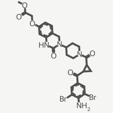 COC(=O)COc1ccc2c(c1)NC(=O)N(C1CCN(C(=O)C3CC3C(=O)c3cc(Br)c(N)c(Br)c3)CC1)C2